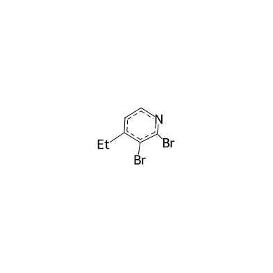 CCc1ccnc(Br)c1Br